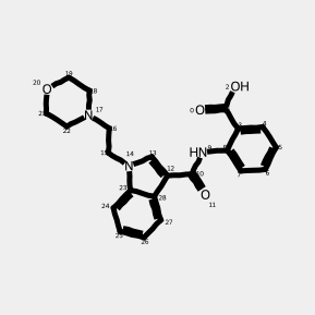 O=C(O)c1ccccc1NC(=O)c1cn(CCN2CCOCC2)c2ccccc12